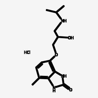 Cc1ccc(OCC(O)CNC(C)C)c2[nH]c(=O)[nH]c12.Cl